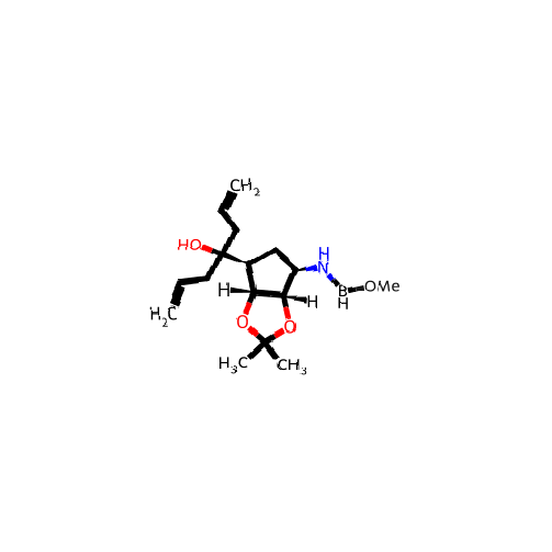 C=CCC(O)(CC=C)[C@H]1C[C@@H](NBOC)[C@@H]2OC(C)(C)O[C@@H]21